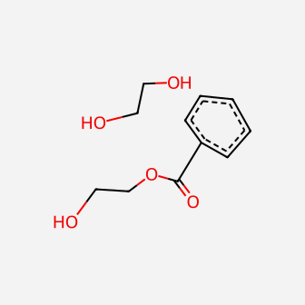 O=C(OCCO)c1ccccc1.OCCO